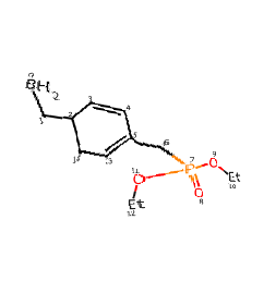 BCC1C=CC(CP(=O)(OCC)OCC)=CC1